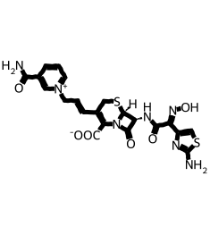 NC(=O)c1ccc[n+](C/C=C/C2=C(C(=O)[O-])N3C(=O)[C@@H](NC(=O)C(=NO)c4csc(N)n4)[C@@H]3SC2)c1